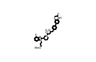 COCCCn1c(C2CCCN(C(=O)CC(N)Cc3ccc(-c4ccc5c(c4)SCC(=O)N5)cc3)C2)nc2c(F)cccc21